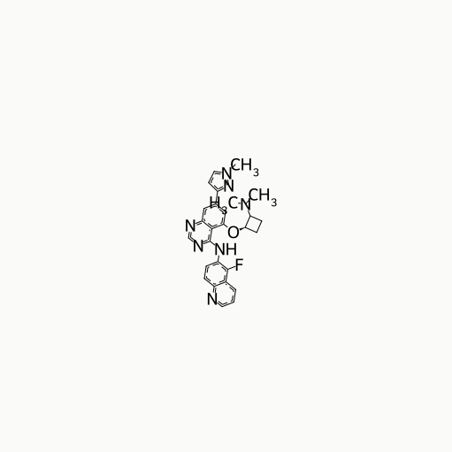 CN(C)C1CC[C@H]1Oc1cc(-c2ccn(C)n2)cc2ncnc(Nc3ccc4ncccc4c3F)c12